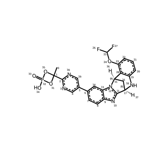 CC1(c2ncc(-c3ccc4nc5n(c4c3)[C@@H]3C[C@H]5Nc4cccc(OC(F)F)c43)cn2)OP(=O)(O)O1